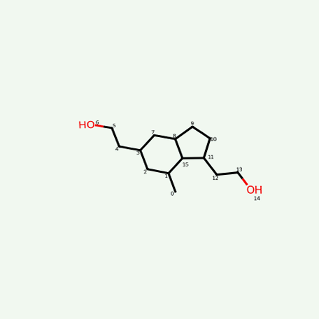 CC1CC(CCO)CC2CCC(CCO)C12